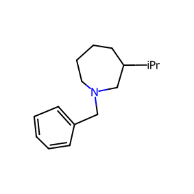 CC(C)C1CCCCN(Cc2ccccc2)C1